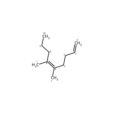 C=CCCC(C)=C(C)CCC